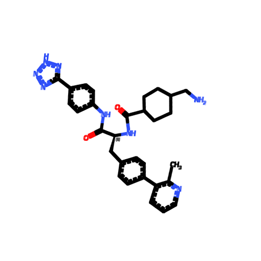 Cc1ncccc1-c1ccc(C[C@H](NC(=O)C2CCC(CN)CC2)C(=O)Nc2ccc(-c3nn[nH]n3)cc2)cc1